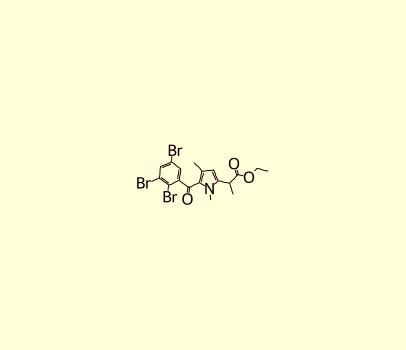 CCOC(=O)C(C)c1cc(C)c(C(=O)c2cc(Br)cc(Br)c2Br)n1C